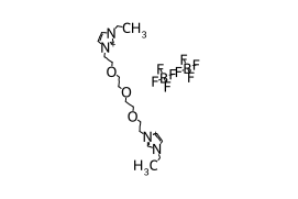 CCn1cc[n+](CCOCCOCCOCC[n+]2ccn(CC)c2)c1.F[B-](F)(F)F.F[B-](F)(F)F